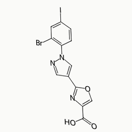 O=C(O)c1coc(-c2cnn(-c3ccc(I)cc3Br)c2)n1